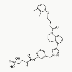 Cc1cccc(OCCCC(=O)N2CCCc3c(-c4cnn(Cc5cccc(NC(=O)NCCP(=O)(O)O)c5)c4)cccc32)c1C